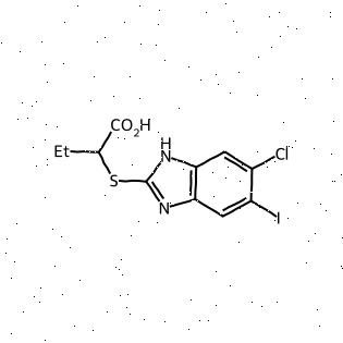 CCC(Sc1nc2cc(I)c(Cl)cc2[nH]1)C(=O)O